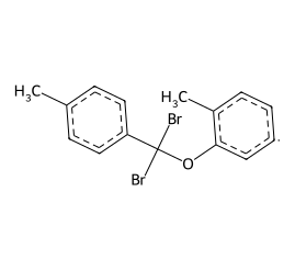 Cc1ccc(C(Br)(Br)Oc2c[c]ccc2C)cc1